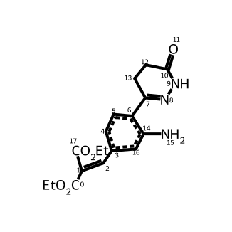 CCOC(=O)C(=Cc1ccc(C2=NNC(=O)CC2)c(N)c1)C(=O)OCC